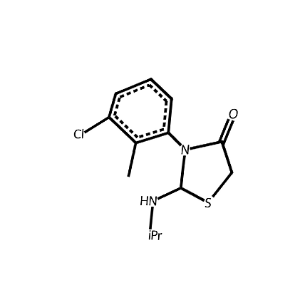 Cc1c(Cl)cccc1N1C(=O)CSC1NC(C)C